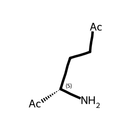 CC(=O)CC[C@H](N)C(C)=O